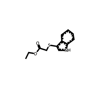 CCOC(=O)CSc1c[nH]c2ccccc12